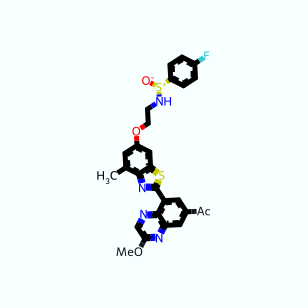 COc1cnc2c(-c3nc4c(C)cc(OCCN[S+]([O-])c5ccc(F)cc5)cc4s3)cc(C(C)=O)cc2n1